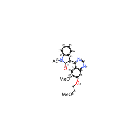 COCCOc1cc2ncnc(C3C(=O)N(C(C)=O)c4ccccc43)c2cc1OC